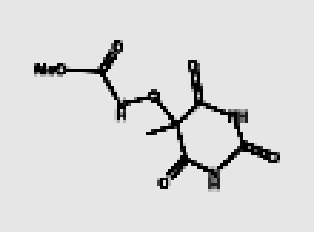 COC(=O)NOC1(C)C(=O)NC(=O)NC1=O